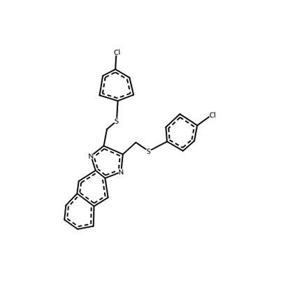 Clc1ccc(SCc2nc3cc4ccccc4cc3nc2CSc2ccc(Cl)cc2)cc1